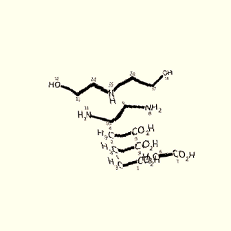 CC(=O)O.CC(=O)O.CC(=O)O.CC(=O)O.NCCN.OCCNCCO